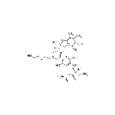 CCC(Br)(CC)C(=O)NC(N)=O.Cc1c(C)c2c(c(C)c1O)C(CN1CCN(CCOCCO)CC1)C(C)(C)O2.O=C(O)/C=C\C(=O)O